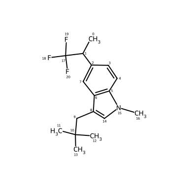 CC(c1ccc2c(c1)c(CC(C)(C)C)cn2C)C(F)(F)F